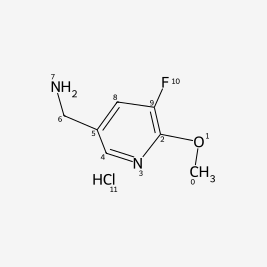 COc1ncc(CN)cc1F.Cl